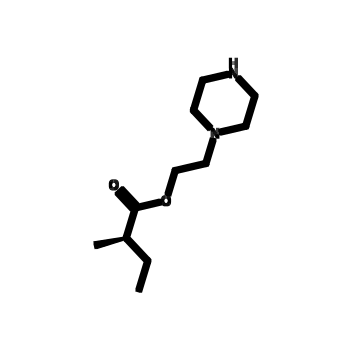 CC[C@@H](C)C(=O)OCCN1CCNCC1